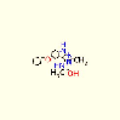 Cc1nc(NC(C)CO)c2c(n1)[nH]c1ccc(OCc3ccccc3)cc12